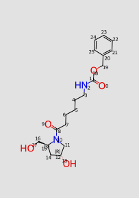 O=C(NCCCCCC(=O)N1C[C@H](O)C[C@H]1CO)OCc1ccccc1